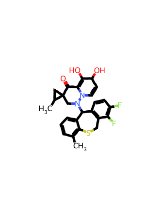 Cc1cccc2c1SCc1c(ccc(F)c1F)C2N1CC2(CC2C)C(=O)C2=C(O)C(O)C=CN21